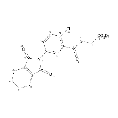 CCOC(=O)CSC(=O)c1cc(N2C(=O)C3=C(CCCC3)C2=O)ccc1Cl